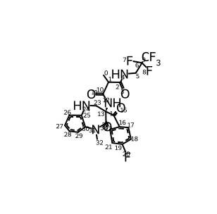 CC(C(=O)NCC(F)(F)C(F)(F)F)C(=O)N[C@]1(C(=O)c2ccc(F)cc2)CNc2ccccc2N(C)C1=O